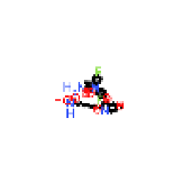 COc1ccc2nc(OCCCCCCC(=O)NO)cc(Oc3ccc(N(C(=O)C4(C(N)=O)CC4)c4ccc(F)cc4)cc3F)c2c1